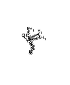 CCCCCCCCc1cc(-c2ccc(-c3ccc(-c4cccs4)s3)s2)sc1-c1sc(CCCCCCCC)c(CCCCCCCC)c1CCCCCCCC